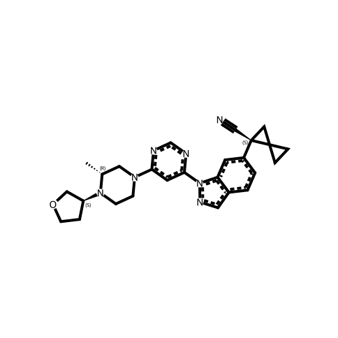 C[C@@H]1CN(c2cc(-n3ncc4ccc([C@]5(C#N)CC56CC6)cc43)ncn2)CCN1[C@H]1CCOC1